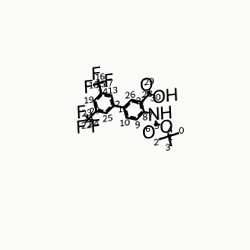 CC(C)(C)OC(=O)Nc1ccc(-c2cc(C(F)(F)F)cc(C(F)(F)F)c2)cc1C(=O)O